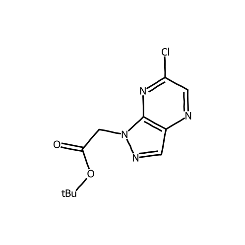 CC(C)(C)OC(=O)Cn1ncc2ncc(Cl)nc21